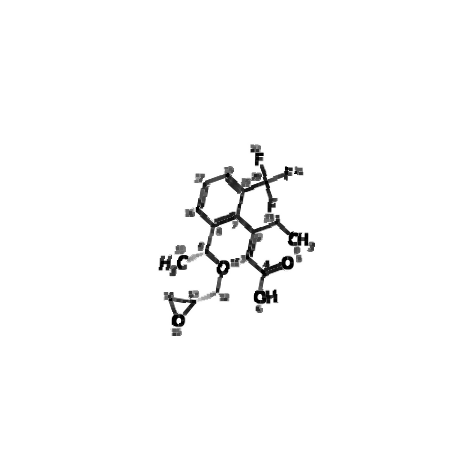 CC/C(=C\C(=O)O)c1c([C@@H](C)OC[C@H]2CO2)cccc1C(F)(F)F